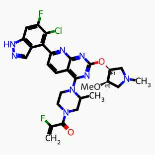 C=C(F)C(=O)N1CCN(c2nc(O[C@@H]3CN(C)C[C@H]3OC)nc3nc(-c4c(Cl)c(F)cc5[nH]ncc45)ccc23)C(C)C1